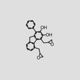 Oc1c(O)c(-c2ccccc2)c2c(c1CC1CO1)-c1c(cccc1CC1CO1)C2